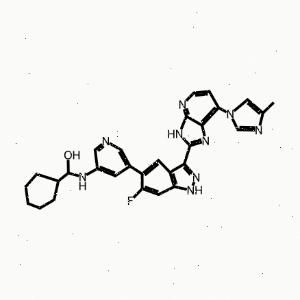 Cc1cn(-c2ccnc3[nH]c(-c4n[nH]c5cc(F)c(-c6cncc(NC(O)C7CCCCC7)c6)cc45)nc23)cn1